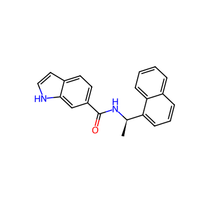 C[C@@H](NC(=O)c1ccc2cc[nH]c2c1)c1cccc2ccccc12